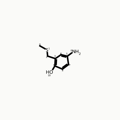 CSCc1cc(N)ccc1O